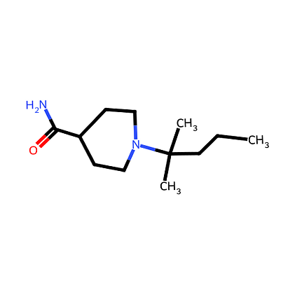 CCCC(C)(C)N1CCC(C(N)=O)CC1